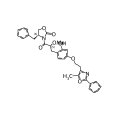 CO[C@@H](Cc1ccc(OCCc2nc(-c3ccccc3)oc2C)cc1O)C(=O)N1C(=O)OC[C@@H]1Cc1ccccc1